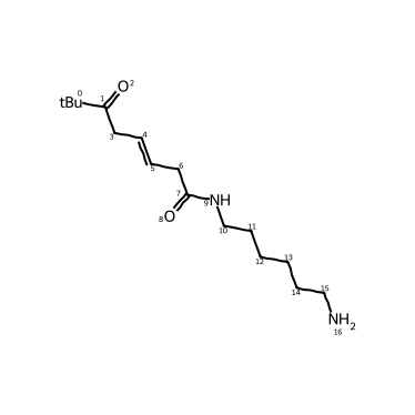 CC(C)(C)C(=O)C/C=C/CC(=O)NCCCCCCN